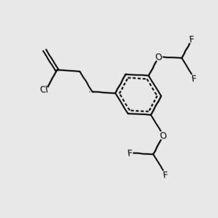 C=C(Cl)C[CH]c1cc(OC(F)F)cc(OC(F)F)c1